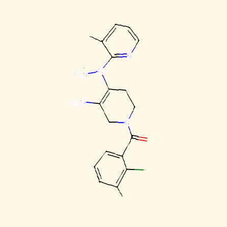 Cc1cccnc1N(N)C1=C(N)CN(C(=O)c2cccc(C(F)(F)F)c2Cl)CC1